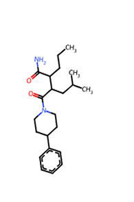 CCCC(C(N)=O)C(CC(C)C)C(=O)N1CCC(c2ccccc2)CC1